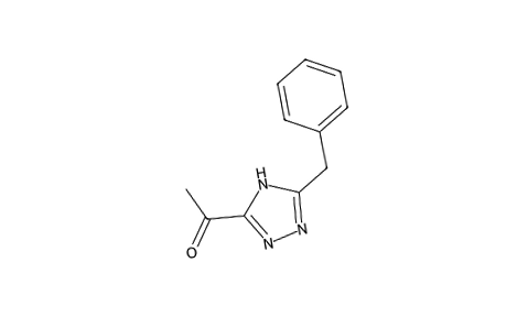 CC(=O)c1nnc(Cc2ccccc2)[nH]1